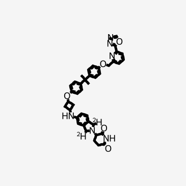 [2H]C1c2ccc(NC3CC(Oc4ccc(C(C)(C)c5ccc(OCc6cccc(-c7nnco7)n6)cc5)cc4)C3)cc2C([2H])N1C1CCC(=O)NC1=O